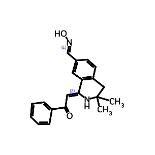 CC1(C)Cc2ccc(/C=N/O)cc2/C(=C/C(=O)c2ccccc2)N1